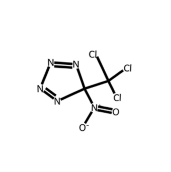 O=[N+]([O-])C1(C(Cl)(Cl)Cl)N=NN=N1